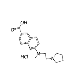 CN(CCN1CCCC1)c1ccc2cc(C(=O)O)ccc2n1.Cl